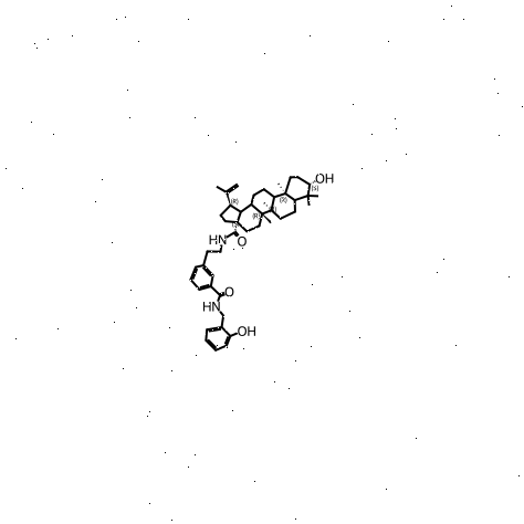 C=C(C)[C@@H]1CC[C@]2(C(=O)NCCc3cccc(C(=O)NCc4ccccc4O)c3)CC[C@]3(C)C(CCC4[C@@]5(C)CC[C@H](O)C(C)(C)C5CC[C@]43C)C12